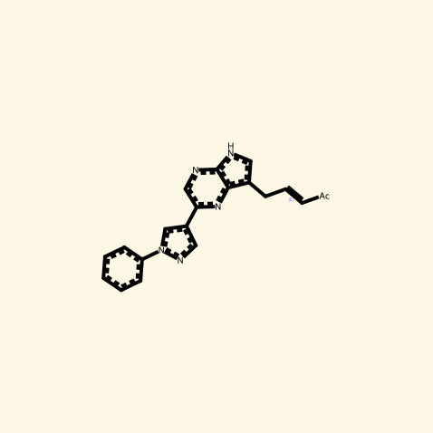 CC(=O)/C=C/Cc1c[nH]c2ncc(-c3cnn(-c4ccccc4)c3)nc12